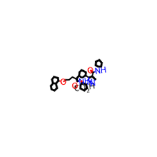 O=C(O)Oc1[nH]c2c(-c3c(C(=O)Nc4ccccc4)cnn3-c3ccccc3)cccc2c1CCCOc1cccc2ccccc12